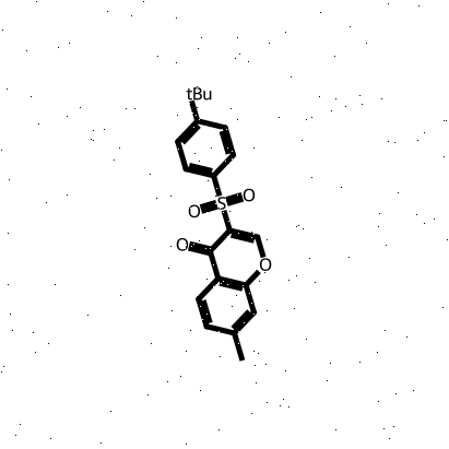 Cc1ccc2c(=O)c(S(=O)(=O)c3ccc(C(C)(C)C)cc3)coc2c1